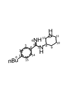 CCCCc1ccc(C(=N)N[C@@H]2CCCNC2)cc1